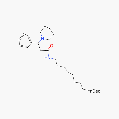 CCCCCCCCCCCCCCCCCCNC(=O)CC(c1ccccc1)N1CCCCC1